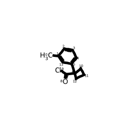 Cc1cccc(C2(C(=O)Cl)CCC2)c1